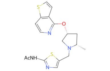 CC(=O)Nc1ncc(CN2C[C@H](Oc3nccc4sccc34)C[C@@H]2C)s1